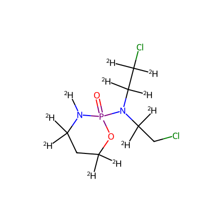 [2H]N1C([2H])([2H])CC([2H])([2H])OP1(=O)N(C([2H])([2H])CCl)C([2H])([2H])C([2H])([2H])Cl